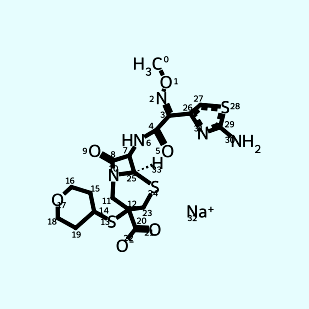 CON=C(C(=O)NC1C(=O)N2CC(SC3CCOCC3)(C(=O)[O-])CS[C@H]12)c1csc(N)n1.[Na+]